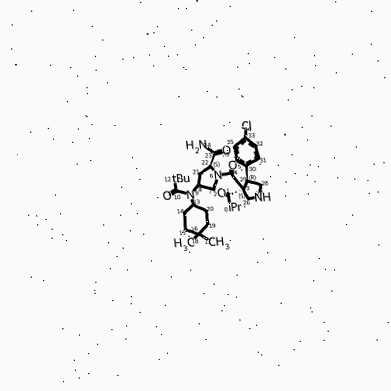 CC(C)C(=O)[C@@]1(C(=O)N2CC(N(C(=O)C(C)(C)C)C3CCC(C)(C)CC3)C[C@H]2C(N)=O)CNC[C@@H]1c1ccc(Cl)cc1